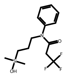 C[Si](C)(O)CCCN(C(=O)CC(F)(F)F)c1ccccc1